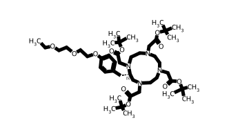 CCOCCOCCOc1ccc(C[C@H]2CN(CC(=O)OC(C)(C)C)CCN(CC(=O)OC(C)(C)C)CCN(CC(=O)OC(C)(C)C)CCN2CC(=O)OC(C)(C)C)cc1